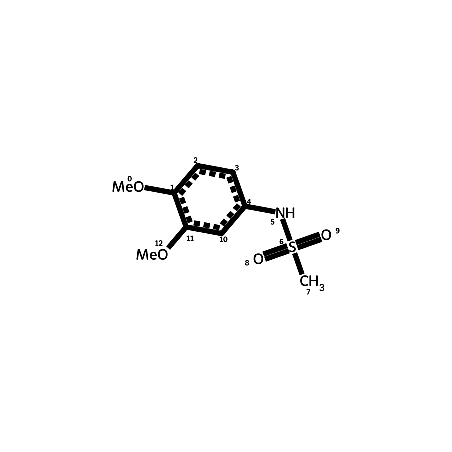 COc1ccc(NS(C)(=O)=O)cc1OC